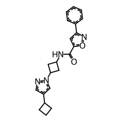 O=C(NC1CC(n2cc(C3CCC3)cn2)C1)c1cc(-c2ccccc2)no1